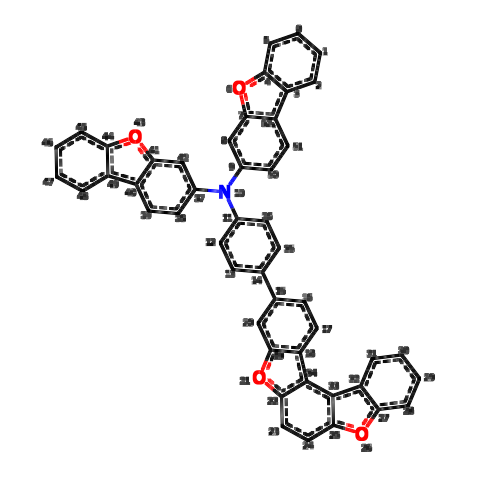 c1ccc2c(c1)oc1cc(N(c3ccc(-c4ccc5c(c4)oc4ccc6oc7ccccc7c6c45)cc3)c3ccc4c(c3)oc3ccccc34)ccc12